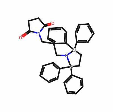 O=C1CCC(=O)N1CCCN1[Si](c2ccccc2)(c2ccccc2)CC[Si]1(c1ccccc1)c1ccccc1